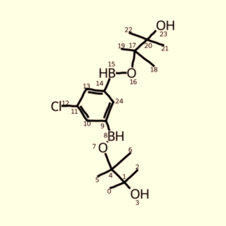 CC(C)(O)C(C)(C)OBc1cc(Cl)cc(BOC(C)(C)C(C)(C)O)c1